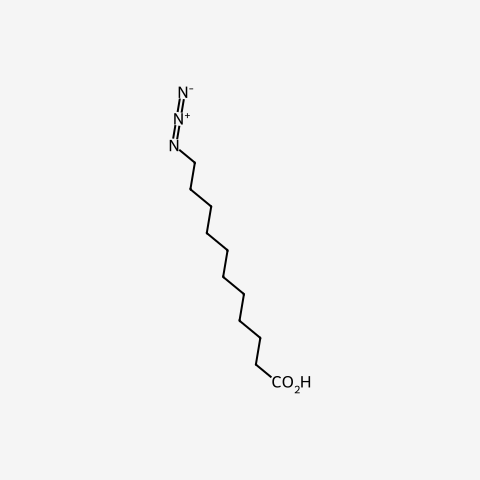 [N-]=[N+]=NCCCCCCCCCCC(=O)O